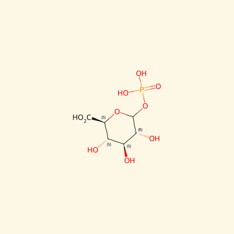 O=C(O)[C@H]1OC(OP(=O)(O)O)[C@H](O)[C@@H](O)[C@@H]1O